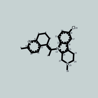 C/C(=C1/CCCc2nc(C)ccc21)n1c2c(c3cc(Cl)ccc31)CCN(C)C2